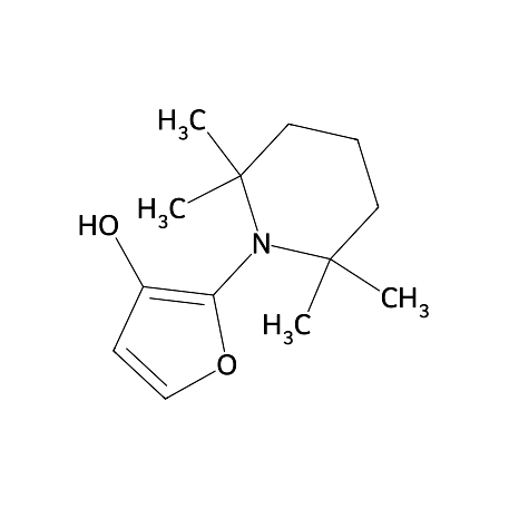 CC1(C)CCCC(C)(C)N1c1occc1O